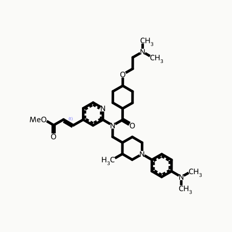 COC(=O)/C=C/c1ccnc(N(CC2CCN(c3ccc(N(C)C)cc3)CC2C)C(=O)C2CCC(OCCN(C)C)CC2)c1